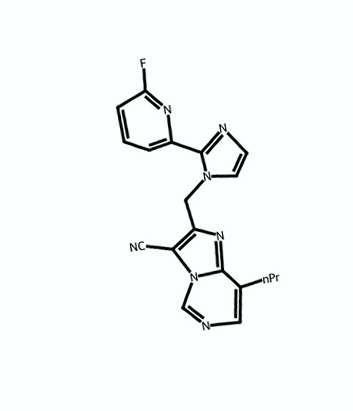 CCCc1cncn2c(C#N)c(Cn3ccnc3-c3cccc(F)n3)nc12